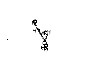 CCCN(CCCCCCNCCCCc1ccccn1)C1CCc2c(ccc(OC)c2OC)C1.Cl.Cl.Cl